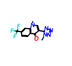 Cn1nnnc1-c1cn(C)c2cc(C(F)(F)F)ccc2c1=O